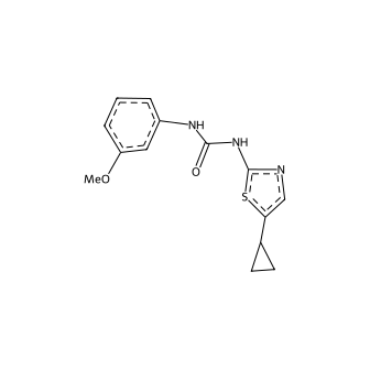 COc1cccc(NC(=O)Nc2ncc(C3CC3)s2)c1